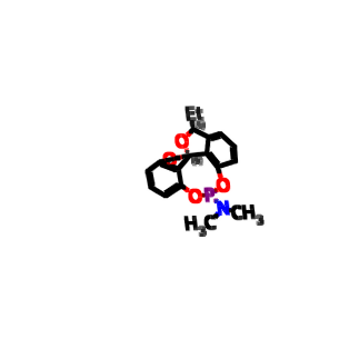 CC[C@@H]1O[C@@]23OCc4cccc(c42)OP(N(C)C)Oc2cccc1c23